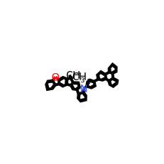 CC1(C)c2cc3oc4ccccc4c3cc2-c2cc3c4ccccc4n(-c4ccc(-c5ccc6c7ccccc7c7ccccc7c6c5)cc4)c3cc21